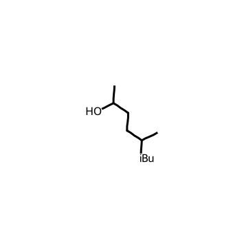 CCC(C)C(C)CCC(C)O